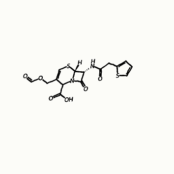 O=COCC1=CS[C@@H]2[C@H](NC(=O)Cc3cccs3)C(=O)N2C1C(=O)O